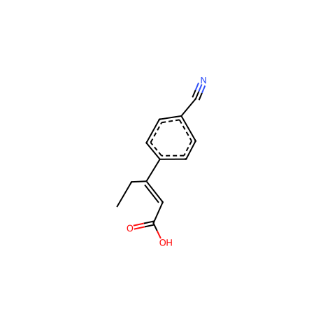 CCC(=CC(=O)O)c1ccc(C#N)cc1